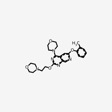 Cc1ccccc1Oc1cc2c(N3CCOCC3)nc(OCCN3CCOCC3)nc2cn1